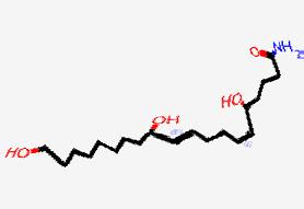 NC(=O)CCCC(O)/C=C\CC/C=C/C(O)CCCCCCCCO